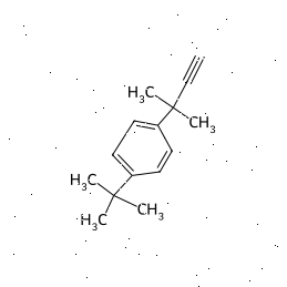 [C]#CC(C)(C)c1ccc(C(C)(C)C)cc1